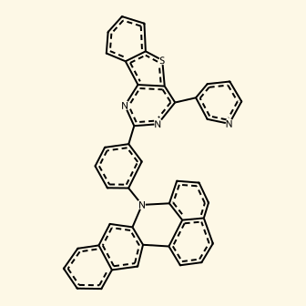 c1cncc(-c2nc(-c3cccc(N4c5cc6ccccc6cc5-c5cccc6cccc4c56)c3)nc3c2sc2ccccc23)c1